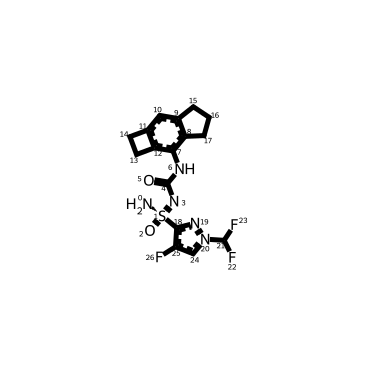 N[S@](=O)(=NC(=O)Nc1c2c(cc3c1CC3)CCC2)c1nn(C(F)F)cc1F